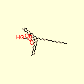 CCCCCCCCCCCCCCCC(CCCCCCCC)(CCCCCCCC)C(CCCCCCCC)(CCCCCCCC)C(=O)OCC(O)CO